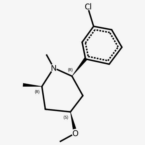 CO[C@H]1C[C@@H](C)N(C)[C@@H](c2cccc(Cl)c2)C1